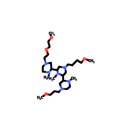 COCCCCN1CC(C2CN(CCCOC)CCN2C)N(C)C(C2CN(CCOCCOC)CCN2C)C1